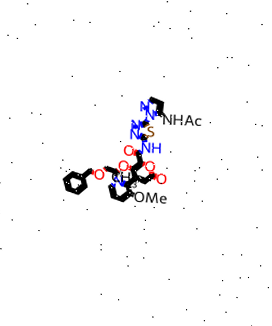 COc1cccnc1-c1cc(=O)oc(C(=O)Nc2nnc(-n3nccc3NC(C)=O)s2)c1O[C@@H](C)COCc1ccccc1